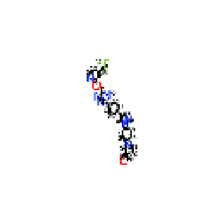 Cn1c(COc2cc(C(F)(F)F)ccn2)nnc1[C@H]1CC[C@H](c2cnn([C@H]3CC[C@H](N4CCC5(COC5)C4)CC3)c2)CC1